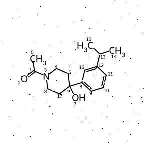 CC(=O)N1CCC(O)(c2cccc(C(C)C)c2)CC1